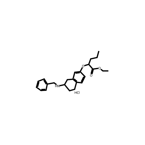 CCCC(Oc1ccc2c(c1)CC(NCc1ccccc1)CC2)C(=O)OCC.Cl